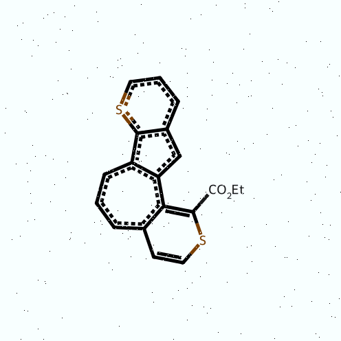 CCOC(=O)C1=c2c(cccc3c2cc2cccsc23)C=CS1